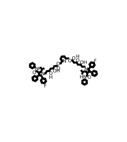 CC(C)c1c(C(=O)Nc2ccccc2)c(-c2ccccc2)c(-c2ccc(F)cc2)n1CC[C@@H](O)C[C@@H](O)CC(=O)OCc1cccc(COC(=O)C[C@H](O)C[C@H](O)CCn2c(-c3ccc(F)cc3)c(-c3ccccc3)c(C(=O)Nc3ccccc3)c2C(C)C)n1